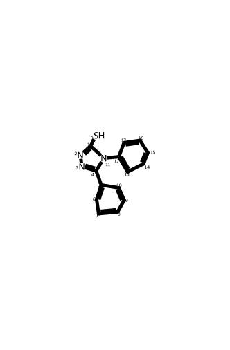 Sc1nnc(-c2ccccc2)n1-c1ccccc1